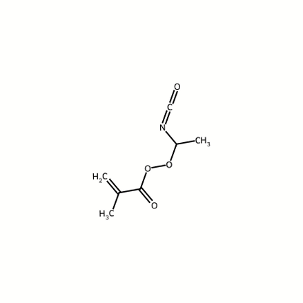 C=C(C)C(=O)OO[C](C)N=C=O